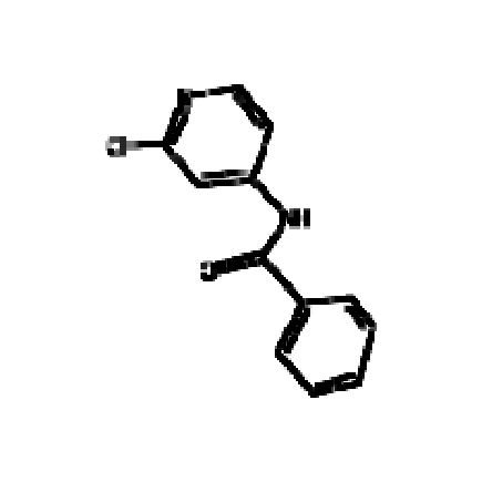 O=C(Nc1ccnc(Cl)c1)c1ccccc1